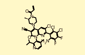 C=CC(=O)N1CCN(c2c(C#N)c(=O)n(-c3c(C)ccnc3C(C)C)c3nc(-c4c(N)c(F)c(F)c(Cl)c4Cl)c(Cl)cc23)C[C@H]1C